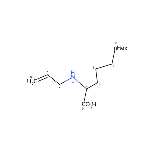 C=CCNC(CCCCCCCCC)C(=O)O